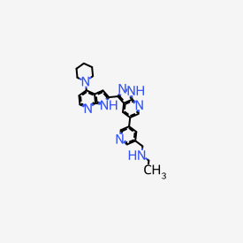 CCNCc1cncc(-c2cnc3[nH]nc(-c4cc5c(N6CCCCC6)ccnc5[nH]4)c3c2)c1